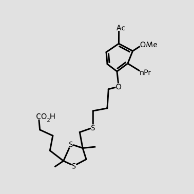 CCCc1c(OCCCSCC2(C)CSC(C)(CCCC(=O)O)S2)ccc(C(C)=O)c1OC